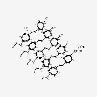 CCOc1ccc(CCc2ccc([S])cc2)cc1.CCOc1ccc(CCc2ccc([S])cc2)cc1.CCOc1ccc(CCc2ccc([S])cc2)cc1.CCOc1ccc(CCc2ccc([S])cc2)cc1.CCOc1ccc(CCc2ccc([S])cc2)cc1.F.F.F.F.F